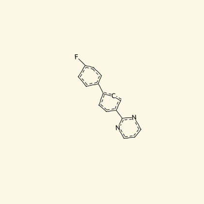 Fc1ccc(-c2ccc(-c3ncccn3)cc2)cc1